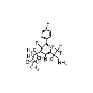 CC(C)(NS(C)(=O)=O)c1c(F)c(-c2ccc(F)cc2)nc(C(O)(CN)C(F)(F)F)c1F